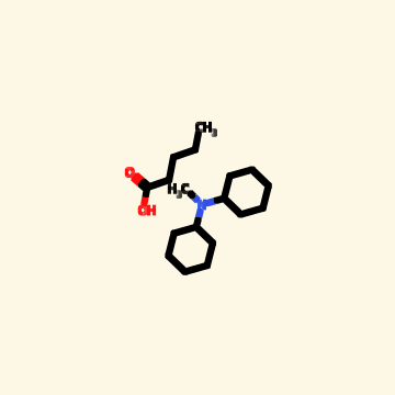 CCCCC(=O)O.CN(C1CCCCC1)C1CCCCC1